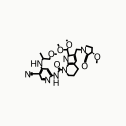 COCC(C)Nc1cc(NC(=O)N2CCCc3cc(CN4CC[C@@H](OC)C4=C=O)c(C(OC)OC)nc32)ncc1C#N